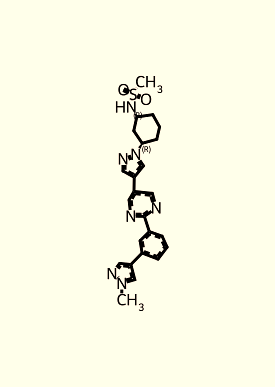 Cn1cc(-c2cccc(-c3ncc(-c4cnn([C@@H]5CCC[C@@H](NS(C)(=O)=O)C5)c4)cn3)c2)cn1